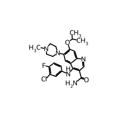 CC(C)Oc1cc2ncc(C(N)=O)c(Nc3ccc(F)c(Cl)c3)c2cc1N1CCN(C)CC1